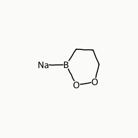 [Na][B]1CCCOO1